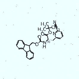 CC(C)(C)OC(=O)[C@H](Cc1cccc(C#N)n1)NC(=O)OCC1c2ccccc2-c2ccccc21